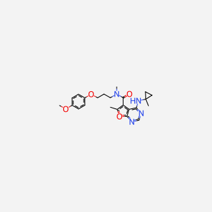 COc1ccc(OCCCN(C)C(=O)c2c(C)oc3ncnc(NC4(C)CC4)c23)cc1